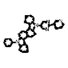 c1ccc(-n2c3ccccc3c3c4ccc5c(c4ccc32)c2ccccc2n5-c2cnc(-c3cccnc3)nc2)cc1